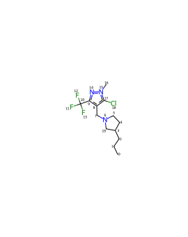 CCCC1CCN(Cc2c(C(F)(F)F)nn(C)c2Cl)C1